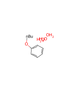 CCCCOc1ccccc1.O.O.O